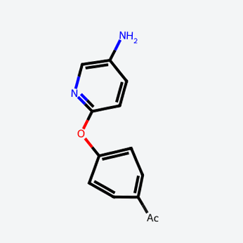 CC(=O)c1ccc(Oc2ccc(N)cn2)cc1